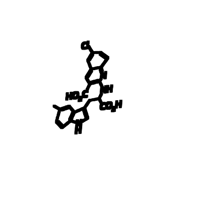 Cc1ccc2[nH]cc(CC(Nc3nc4ccc(Cl)cc4cc3C(=O)O)C(=O)O)c2c1